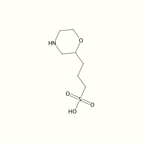 O=S(=O)(O)CCCC1CNCCO1